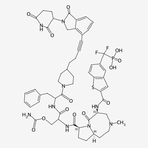 CN1CC[C@H]2CC[C@@H](C(=O)NC(COC(N)=O)C(=O)NC(Cc3ccccc3)C(=O)N3CCC(CCC#Cc4cccc5c4CN(C4CCC(=O)NC4=O)C5=O)CC3)N2C(=O)[C@@H](NC(=O)c2cc3cc(C(F)(F)P(=O)(O)O)ccc3s2)C1